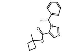 C[C@H](c1ccccc1)n1cncc1C(=O)OC1(C)CCC1